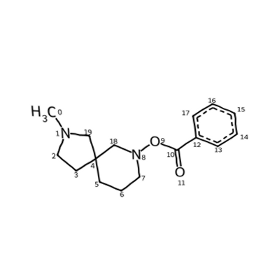 CN1CCC2(CCCN(OC(=O)c3ccccc3)C2)C1